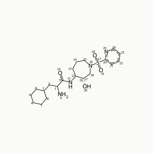 NC(CC1CCCCC1)C(=O)NC1CCCN(S(=O)(=O)c2ccccn2)C[C@@H]1O